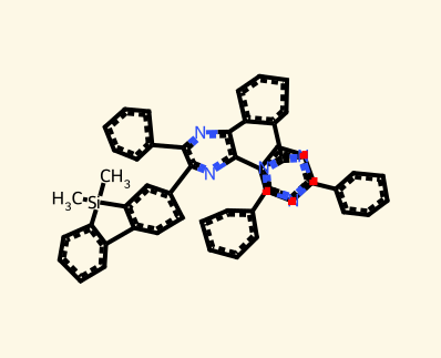 C[Si]1(C)c2ccccc2-c2ccc(-c3nc(-c4ccccc4)c(-c4ccccc4-c4nc(-c5ccccc5)nc(-c5ccccc5)n4)nc3-c3ccccc3)cc21